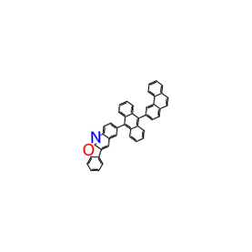 c1ccc2c(c1)ccc1ccc(-c3c4ccccc4c(-c4ccc5nc6oc7ccccc7c6cc5c4)c4ccccc34)cc12